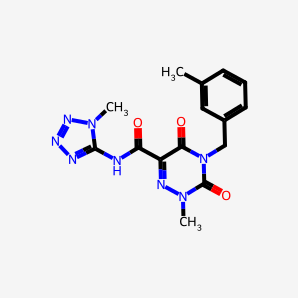 Cc1cccc(Cn2c(=O)c(C(=O)Nc3nnnn3C)nn(C)c2=O)c1